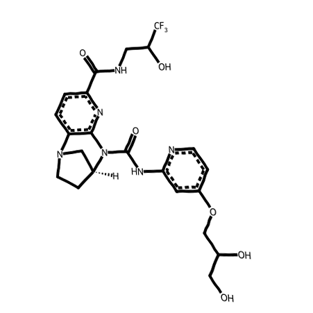 O=C(NCC(O)C(F)(F)F)c1ccc2c(n1)N(C(=O)Nc1cc(OCC(O)CO)ccn1)[C@H]1CCN2C1